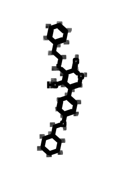 O=c1occ(-c2ccc(OCC3CCCCC3)cc2)c(O)c1SCCc1ccccc1